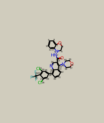 O=C(NN1CCOc2ccccc21)c1cnc2c(-c3cc(Cl)c(C(F)(F)F)c(Cl)c3)cccc2c1N1CCOCC1